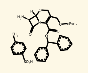 CCCCCOCC1=C(C(=O)OC(c2ccccc2)c2ccccc2)N2C(=O)[C@@H](N)[C@@H]2SC1.Cc1ccc(S(=O)(=O)O)cc1